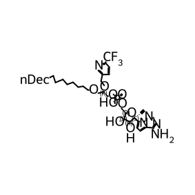 C#C[C@@]1(c2ccc3c(N)ncnn23)O[C@H](COP(=O)(O)OC[C@@H](COCCCCCCCCCCCCCCCCCC)OCc2ccc(C(F)(F)F)nc2)[C@@H](O)[C@H]1O